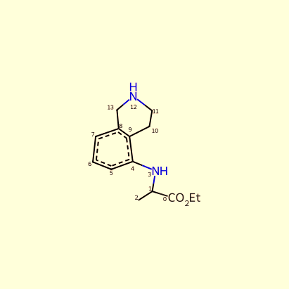 CCOC(=O)C(C)Nc1cccc2c1CCNC2